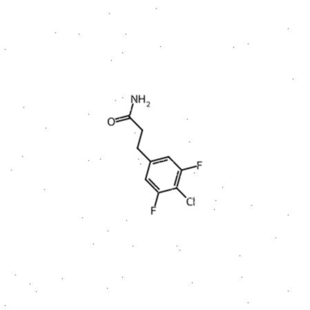 NC(=O)CCc1cc(F)c(Cl)c(F)c1